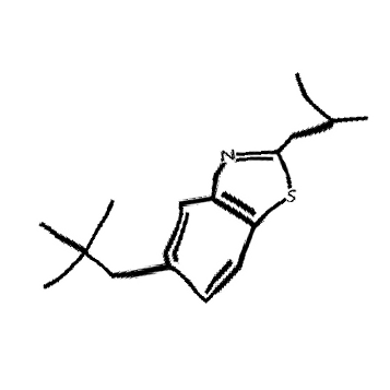 CC(C)c1nc2cc(CC(C)(C)C)ccc2s1